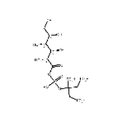 O=C(O)CC(CC(=O)O)(OP(=O)(O)OC(=O)[C@H](O)[C@@H](O)[C@H](O)[C@H](O)CO)C(=O)O